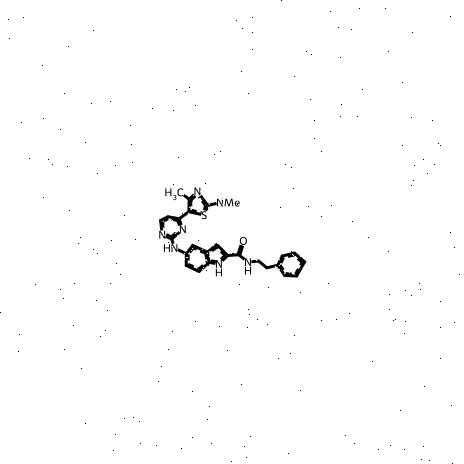 CNc1nc(C)c(-c2ccnc(Nc3ccc4[nH]c(C(=O)NCCc5ccccc5)cc4c3)n2)s1